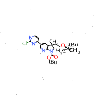 CC(C)(C)OC(=O)N1CC(C)(CCO[Si](C)(C)C(C)(C)C)c2cc(-c3ccnc(Cl)n3)cnc21